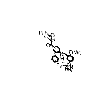 COc1ccc(-n2nnnc2C(F)(F)F)cc1CN[C@H]1CCN(C(=O)CNC(N)=O)C[C@H]1c1ccccc1